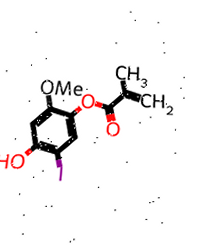 C=C(C)C(=O)Oc1cc(I)c(O)cc1OC